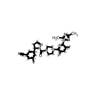 Cc1nc(C)n(-c2nc(N3CCN(C(=O)N4N=CCC4c4cc(F)cc(C#N)c4)CC3)c(F)cc2F)n1